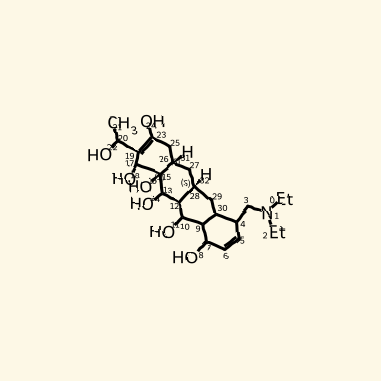 CCN(CC)CC1C=CC(O)C2C(O)C3C(O)[C@]4(O)C(O)C(C(C)O)=C(O)C[C@@H]4C[C@@H]3CC12